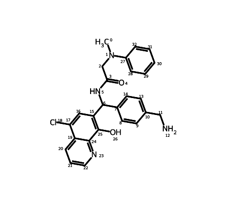 CN(CC(=O)NC(c1ccc(CN)cc1)c1cc(Cl)c2cccnc2c1O)c1ccccc1